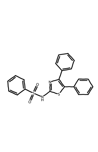 O=S(=O)(Nc1nc(-c2ccccc2)c(-c2ccccc2)s1)c1ccccc1